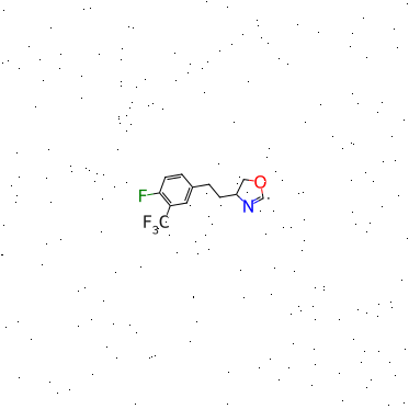 Fc1ccc(CCC2CO[C]=N2)cc1C(F)(F)F